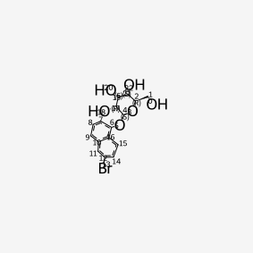 OC[C@H]1O[C@@H](Oc2cccc3cc(Br)ccc23)[C@H](O)[C@@H](O)[C@@H]1O